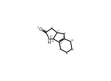 O=C1CC2CC3=C(CCCC3)C2N1